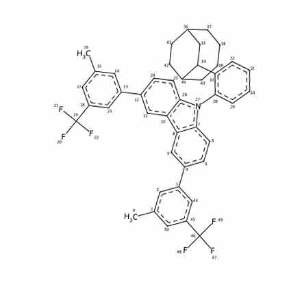 Cc1cc(-c2ccc3c(c2)c2cc(-c4cc(C)cc(C(F)(F)F)c4)ccc2n3-c2ccccc2C2CC3CCCCC2CC3)cc(C(F)(F)F)c1